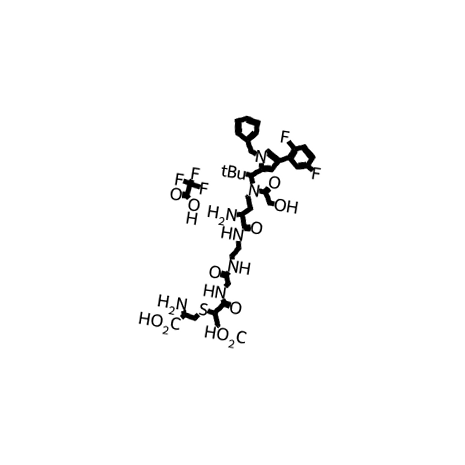 CC(C)(C)C(c1cc(-c2cc(F)ccc2F)cn1Cc1ccccc1)N(CCC(N)C(=O)NCCNC(=O)CNC(=O)C(CC(=O)O)SCC(N)C(=O)O)C(=O)CO.O=C(O)C(F)(F)F